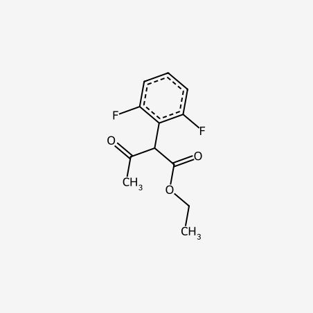 CCOC(=O)C(C(C)=O)c1c(F)cccc1F